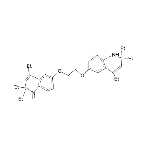 CCC1=CC(CC)(CC)Nc2ccc(OCCOc3ccc4c(c3)C(CC)=CC(CC)(CC)N4)cc21